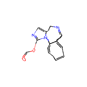 O=COc1ncc2n1-c1ccccc1C=NC2